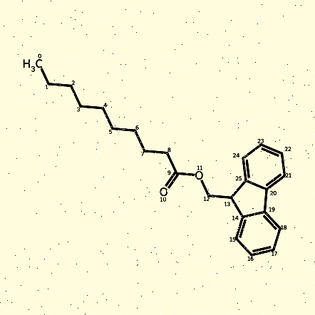 CCCCCCCCCC(=O)OCC1c2ccccc2-c2ccccc21